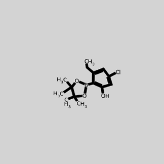 CCc1cc(Cl)cc(O)c1B1OC(C)(C)C(C)(C)O1